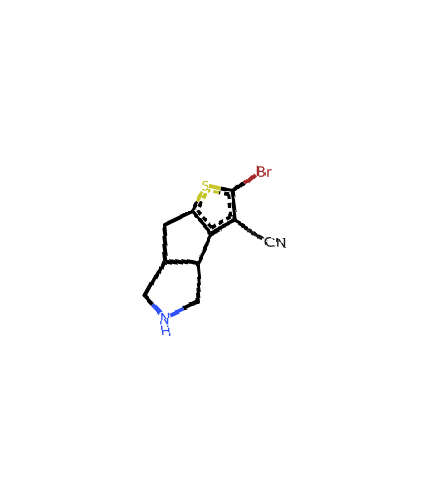 N#Cc1c(Br)sc2c1C1CNCC1C2